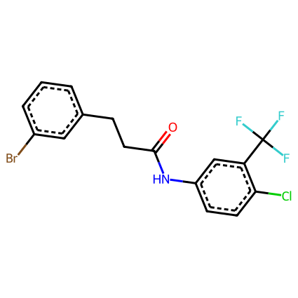 O=C(CCc1cccc(Br)c1)Nc1ccc(Cl)c(C(F)(F)F)c1